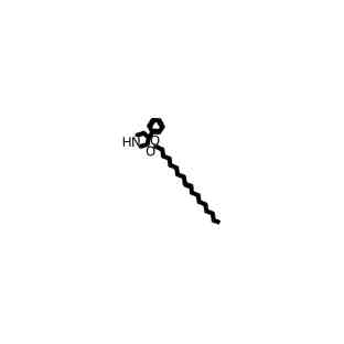 CCCCCCCC/C=C/CCCCCCCC(=O)OC1(c2ccccc2)CCNCC1